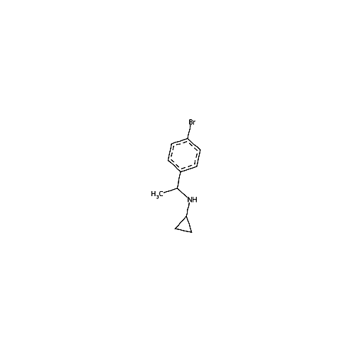 CC(NC1CC1)c1ccc(Br)cc1